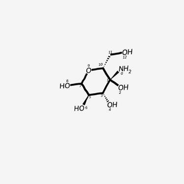 N[C@@]1(O)[C@H](O)[C@@H](O)C(O)O[C@@H]1CO